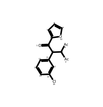 CC(=O)C(C(C)=O)C(C(=O)c1ccco1)c1cccc(Cl)c1